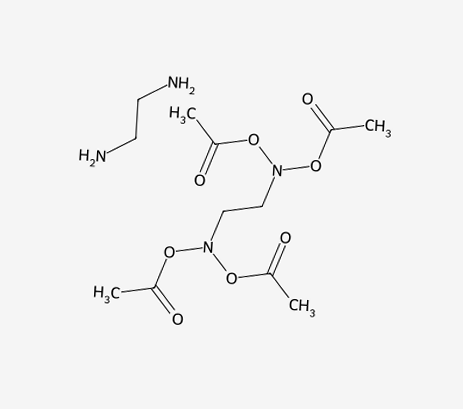 CC(=O)ON(CCN(OC(C)=O)OC(C)=O)OC(C)=O.NCCN